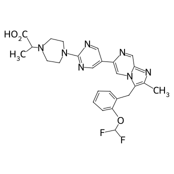 Cc1nc2cnc(-c3cnc(N4CCN(C(C)C(=O)O)CC4)nc3)cn2c1Cc1ccccc1OC(F)F